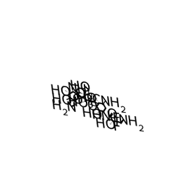 C[C@H]1[C@H](O[C@@H]2O[C@H](CO)[C@@H](O[C@H]3O[C@@H](CN)[C@@H](O)[C@H](O)[C@H]3N)[C@H]2O)[C@@H](O)[C@H](NC(=O)[C@@H](O)C(F)(F)CN)C[C@@H]1N